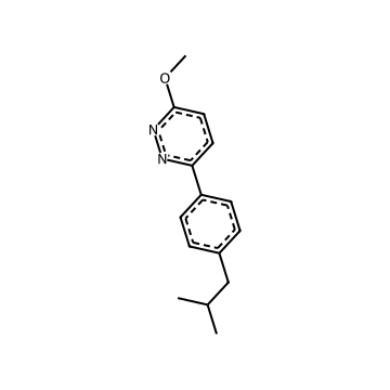 COc1ccc(-c2ccc(CC(C)C)cc2)nn1